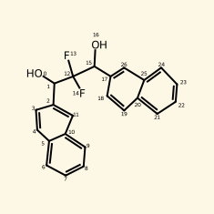 OC(c1ccc2ccccc2c1)C(F)(F)C(O)c1ccc2ccccc2c1